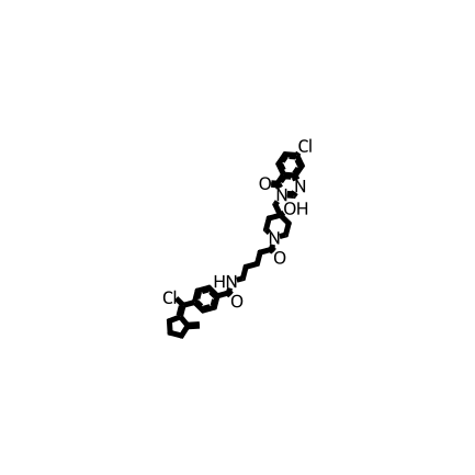 C=C1CCC/C1=C(\Cl)c1ccc(C(=O)NCCCCC(=O)N2CCC(O)(Cn3cnc4cc(Cl)ccc4c3=O)CC2)cc1